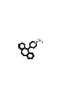 CN1CCC(C2c3ccccc3C=Cc3ccccc32)CC1